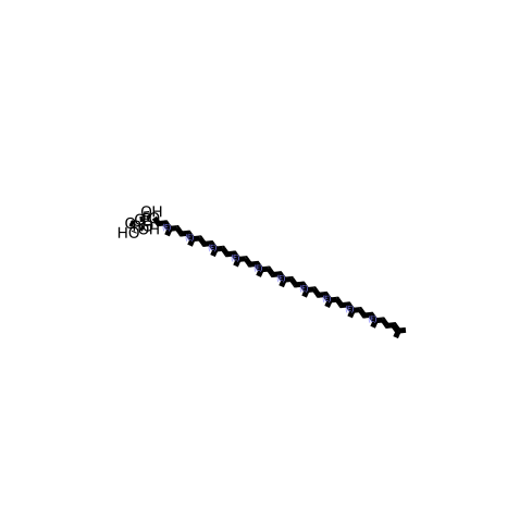 CC(C)=CCC/C(C)=C/CC/C(C)=C/CC/C(C)=C/CC/C(C)=C/CC/C(C)=C/CC/C(C)=C/CC/C(C)=C/CC/C(C)=C/CC/C(C)=C/CC/C(C)=C/COP(=O)(O)OP(=O)(O)O